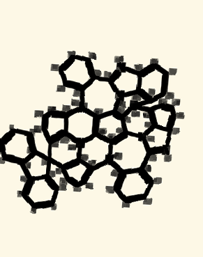 c1ccc2c(c1)-c1ccccc1C21c2cccc3c2n2c4c1cccc4n1c4ccccc4c4nc5cccc6c5n4c4c5c7c(c2c41)n3c1ccccc1c1nc2cccc(c2n17)B65